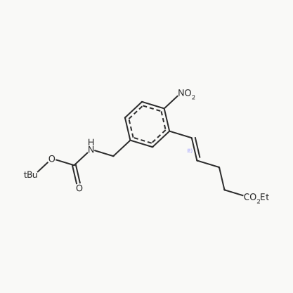 CCOC(=O)CC/C=C/c1cc(CNC(=O)OC(C)(C)C)ccc1[N+](=O)[O-]